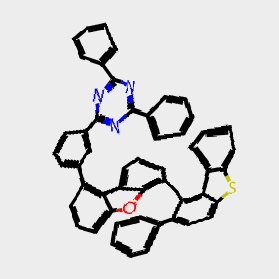 c1ccc(-c2nc(-c3ccccc3)nc(-c3cccc(-c4cccc5oc6c(-c7c(-c8ccccc8)ccc8sc9ccccc9c78)cccc6c45)c3)n2)cc1